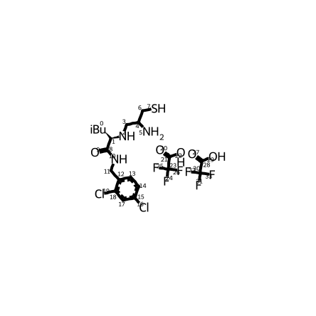 CC[C@H](C)[C@@H](NCC(N)CS)C(=O)NCc1ccc(Cl)cc1Cl.O=C(O)C(F)(F)F.O=C(O)C(F)(F)F